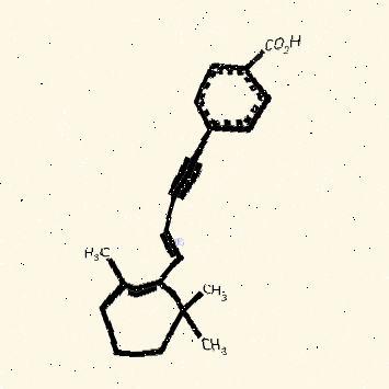 CC1=C(/C=C/C#Cc2ccc(C(=O)O)cc2)C(C)(C)CCC1